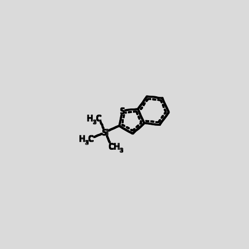 C[Si](C)(C)c1cc2ccccc2s1